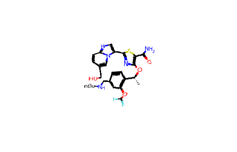 CCCCNCc1ccc([C@@H](C)Oc2nc(-c3cnc4ccc(CO)cn34)sc2C(N)=O)c(OC(F)F)c1